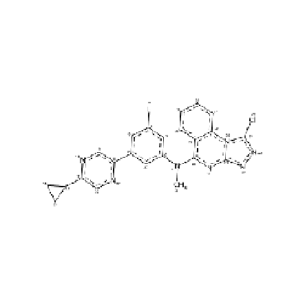 CN(c1cc(F)cc(-c2cnc(C3CC3)cn2)c1)c1nc2nnc(Cl)n2c2ccccc12